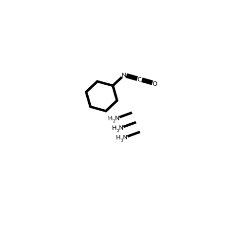 CN.CN.CN.O=C=NC1CCCCC1